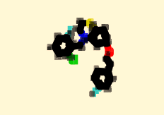 Fc1ccc(CCOc2ccc3c(c2)N(Cc2c(F)cccc2Cl)CCS3)cc1